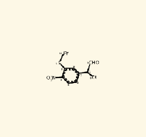 CCC(C=O)c1ccc([N+](=O)[O-])c(SC(C)C)c1